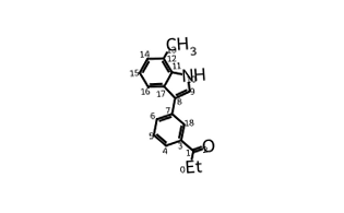 CCC(=O)c1cccc(-c2c[nH]c3c(C)cccc23)c1